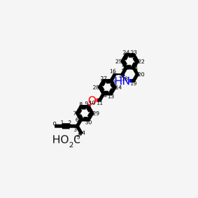 CC#CC(CC(=O)O)c1ccc(OCc2ccc(C[C@@H]3NCCc4ccccc43)cc2)cc1